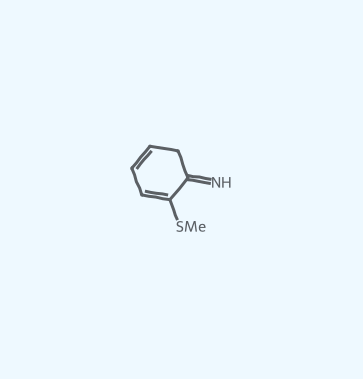 CSC1=CC=CCC1=N